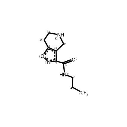 O=C(NCCC(F)(F)F)c1noc2c1CNCC2